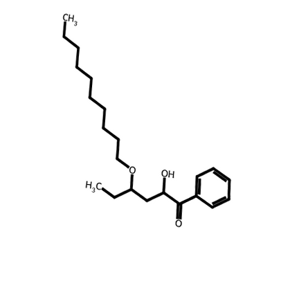 CCCCCCCCCCOC(CC)CC(O)C(=O)c1ccccc1